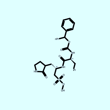 CCCC(OC(=O)N[C@@H](CC(C)C)C(=O)N[C@@H](CC1CCNC1=O)CS(=O)(=O)OO)c1ccccc1